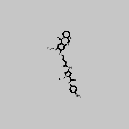 COc1cc2c(cc1OCCCC(=O)Nc1cc(C(=O)Nc3ccc(N)cc3)n(C)c1)N=C[C@@H]1CCCCN1C2=O